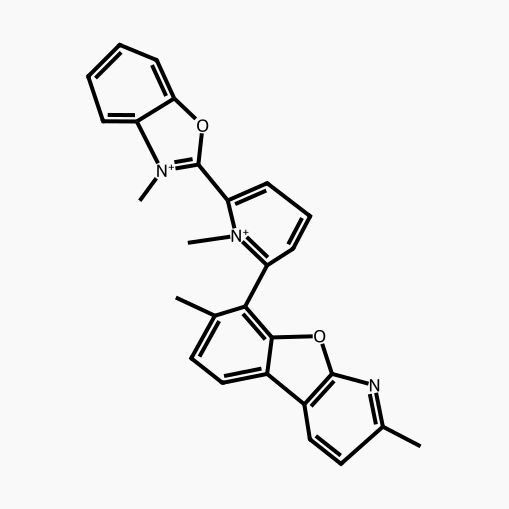 Cc1ccc2c(n1)oc1c(-c3cccc(-c4oc5ccccc5[n+]4C)[n+]3C)c(C)ccc12